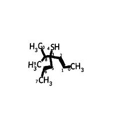 CC=CC(S)(C=CC)C(C)C